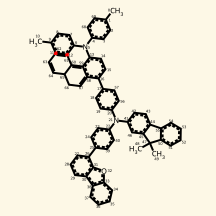 Cc1ccc(N(c2ccc(C)cc2)c2ccc(-c3ccc(N(c4ccc(-c5cccc6c5oc5ccccc56)cc4)c4ccc5c(c4)C(C)(C)c4ccccc4-5)cc3)c3c2=C2C=CC=CC2CC=3)cc1